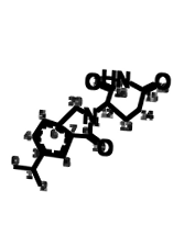 CC(C)c1ccc2c(c1)C(=O)N(C1CCC(=O)NC1=O)C2